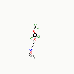 ClC(Cl)=CCOc1cc(Cl)c(OCCCCCC=NOCC(Cl)(Cl)Cl)c(Cl)c1